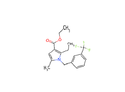 CCOC(=O)c1cc(C)n(Cc2cccc(C(F)(F)F)c2)c1CC